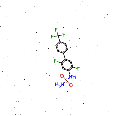 NS(=O)(=O)Nc1cc(F)c(-c2ccc(C(F)(F)F)cc2)cc1F